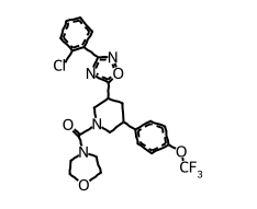 O=C(N1CCOCC1)N1CC(c2ccc(OC(F)(F)F)cc2)CC(c2nc(-c3ccccc3Cl)no2)C1